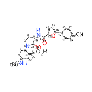 CC(C)(C)N[C@@H]1CC[C@H](N2CC[C@H](NC(=O)c3ccc(-c4ccc(C#N)cc4)o3)C2=O)[C@](C)(C(=O)O)C1